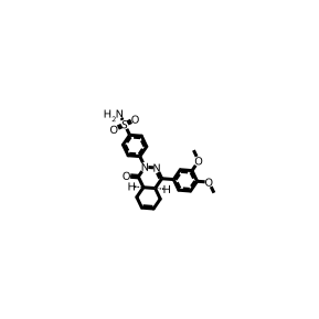 COc1ccc(C2=NN(c3ccc(S(N)(=O)=O)cc3)C(=O)[C@@H]3CC=CC[C@H]23)cc1OC